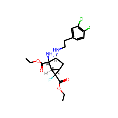 CCOC(=O)[C@@]1(N)[C@H]2C(C[C@H]1NCCc1ccc(Cl)c(Cl)c1)[C@]2(F)C(=O)OCC